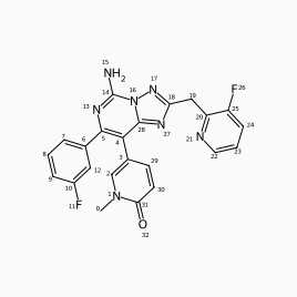 Cn1cc(-c2c(-c3cccc(F)c3)nc(N)n3nc(Cc4ncccc4F)nc23)ccc1=O